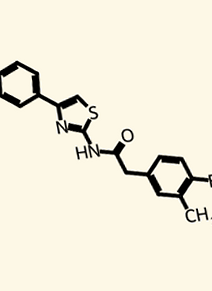 Cc1cc(CC(=O)Nc2nc(-c3ccccc3)cs2)ccc1Br